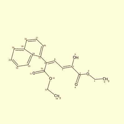 CCOC(=O)C(O)=CC=C(C(=O)OCC)c1cccc2ccccc12